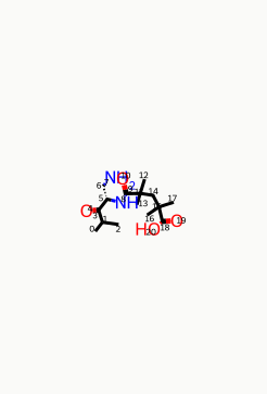 CC(C)C(=O)[C@H](CN)NC(=O)C(C)(C)CC(C)(C)C(=O)O